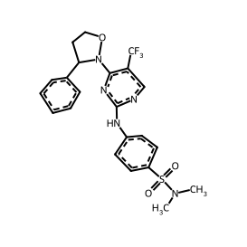 CN(C)S(=O)(=O)c1ccc(Nc2ncc(C(F)(F)F)c(N3OCCC3c3ccccc3)n2)cc1